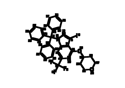 FC(F)(F)c1cc2c(c(I)nn2C(c2ccccc2)(c2ccccc2)c2ccccc2)c(OC2CCOCC2)n1